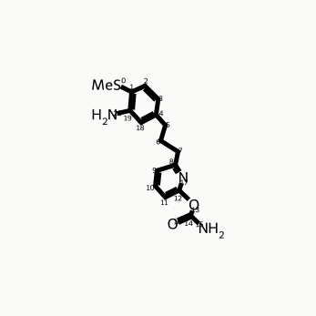 CSc1ccc(CCCc2cccc(OC(N)=O)n2)cc1N